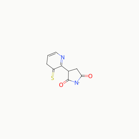 O=C1CC(C2=NC=CCC2=S)C(=O)[N]1